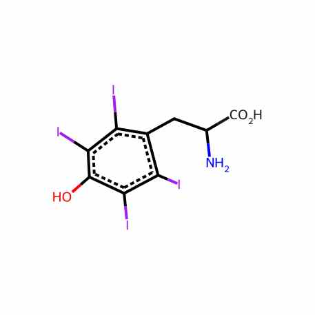 NC(Cc1c(I)c(I)c(O)c(I)c1I)C(=O)O